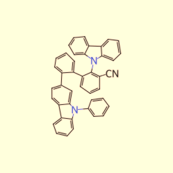 N#Cc1cccc(-c2ccccc2-c2ccc3c4ccccc4n(-c4ccccc4)c3c2)c1-n1c2ccccc2c2ccccc21